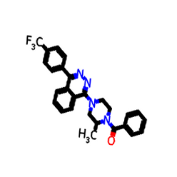 CC1CN(c2nnc(-c3ccc(C(F)(F)F)cc3)c3ccccc23)CCN1C(=O)c1ccccc1